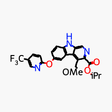 COCc1c(C(=O)OC(C)C)ncc2[nH]c3ccc(Oc4ccc(C(F)(F)F)cn4)cc3c12